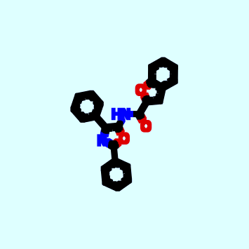 O=C(Nc1oc(-c2ccccc2)nc1-c1ccccc1)c1cc2ccccc2o1